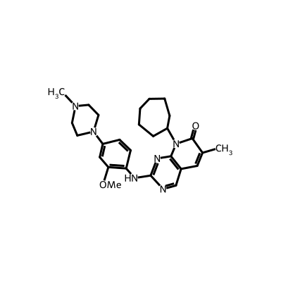 COc1cc(N2CCN(C)CC2)ccc1Nc1ncc2cc(C)c(=O)n(C3CCCCCC3)c2n1